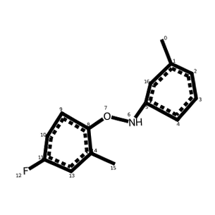 Cc1cccc(NOc2ccc(F)cc2C)c1